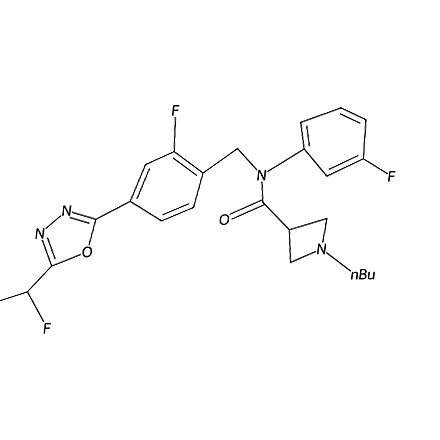 CCCCN1CC(C(=O)N(Cc2ccc(-c3nnc(C(F)F)o3)cc2F)c2cccc(F)c2)C1